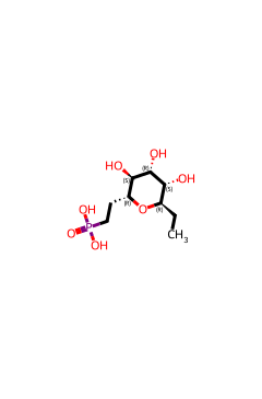 CC[C@H]1O[C@H](CCP(=O)(O)O)[C@@H](O)[C@H](O)[C@@H]1O